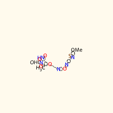 COc1ccc2nc(-c3ccc(N4CC(OC5CCN(CCCCCOc6ccc(C(=O)N(C=O)C7CCC(=O)NC7=O)c(C)c6)CC5)C4)cc3)sc2c1